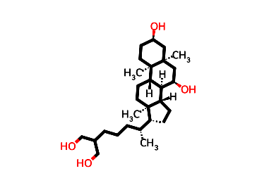 C[C@H](CCCC(CO)CO)[C@H]1CC[C@H]2[C@@H]3[C@H](O)C[C@]4(C)C[C@H](O)CC[C@]4(C)[C@H]3CC[C@]12C